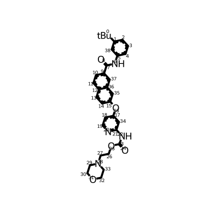 CC(C)(C)c1cccc(NC(=O)c2ccc3ccc(Oc4ccnc(NC(=O)OCCN5CCOCC5)c4)cc3c2)c1